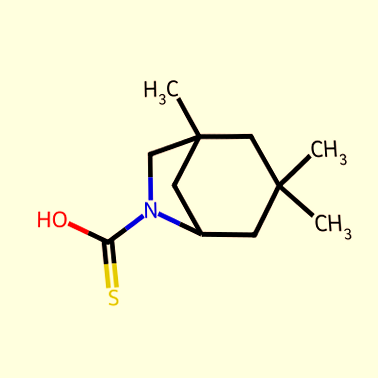 CC1(C)CC2CC(C)(CN2C(O)=S)C1